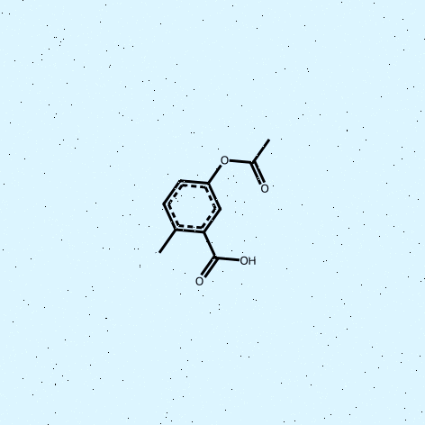 [CH2]c1ccc(OC(C)=O)cc1C(=O)O